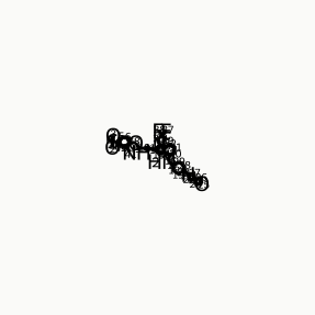 CS(=O)(=O)c1ccc(OCC#Cc2cc3c(NC4CCC(N5CC6(COC6)C5)CC4)cccc3n2CC(F)(F)F)c(N)c1